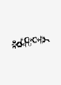 CCc1cnc(N2CCC(N3CCC[C@H](N(C)c4ccc(S(C)(=O)=O)cc4F)C3=O)CC2)nc1